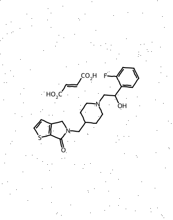 O=C(O)/C=C/C(=O)O.O=C1c2sccc2CN1CC1CCN(CC(O)c2ccccc2F)CC1